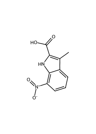 Cc1c(C(=O)O)[nH]c2c([N+](=O)[O-])cccc12